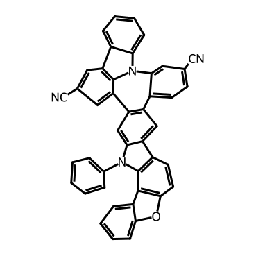 N#Cc1ccc2c(c1)-n1c3ccccc3c3cc(C#N)cc(c31)-c1cc3c(cc1-2)c1ccc2oc4ccccc4c2c1n3-c1ccccc1